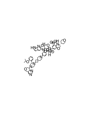 CC(C)Oc1ccccc1[C@@H]1CN([C@@H]2COCc3cncnc32)CCN1C1CC2(CCN(c3ccc(C(=O)NS(=O)(=O)c4cc5c(c([N+](=O)[O-])c4)N[C@H](C4CCOCC4)CO5)c(N4c5cc6cc[nH]c6nc5O[C@H]5COCC[C@@H]54)c3)CC2)C1